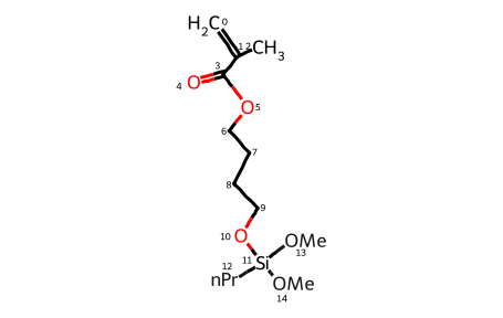 C=C(C)C(=O)OCCCCO[Si](CCC)(OC)OC